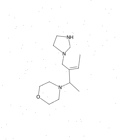 CC=C(CN1CCNC1)C(C)N1CCOCC1